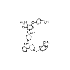 Cc1nccc(CN2CC[C@@H](C(=O)N3CCC(O)(Cn4cnc(Oc5ccc(CO)cc5)c(N)c4=O)CC3)[C@H](c3ccccc3)C2)n1